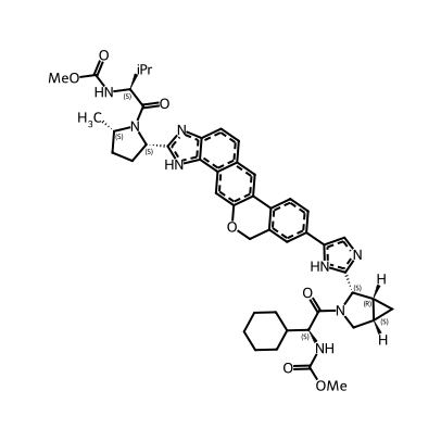 COC(=O)N[C@H](C(=O)N1[C@@H](C)CC[C@H]1c1nc2ccc3cc4c(cc3c2[nH]1)OCc1cc(-c2cnc([C@@H]3[C@@H]5C[C@@H]5CN3C(=O)[C@@H](NC(=O)OC)C3CCCCC3)[nH]2)ccc1-4)C(C)C